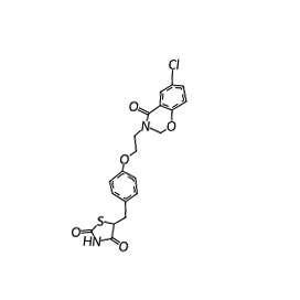 O=C1NC(=O)C(Cc2ccc(OCCN3COc4ccc(Cl)cc4C3=O)cc2)S1